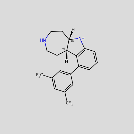 FC(F)(F)c1cc(-c2cccc3c2[C@@H]2CCNCC[C@@H]2N3)cc(C(F)(F)F)c1